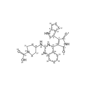 O=C1NC(=O)C(c2c[nH]c3ccsc23)=C1c1nc(NC2CCN(C(=O)O)CC2)nc2ccccc12